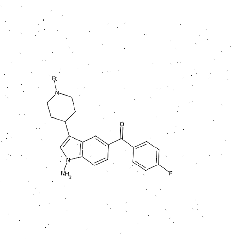 CCN1CCC(c2cn(N)c3ccc(C(=O)c4ccc(F)cc4)cc23)CC1